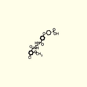 COc1cc(Cl)ccc1C(=O)NCCNC(=O)c1ccc(O[C@H]2CC[C@@H](C(=O)O)CC2)cc1